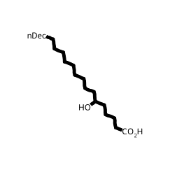 CCCCCCCCCCCCCCCCCCCC(O)CCCCC(=O)O